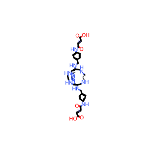 O=C(O)/C=C/C(=O)Nc1ccc(CNC23CNCCNCC(NCc4ccc(NC(=O)/C=C/C(=O)O)cc4)(CNCCNC2)CNCCNC3)cc1